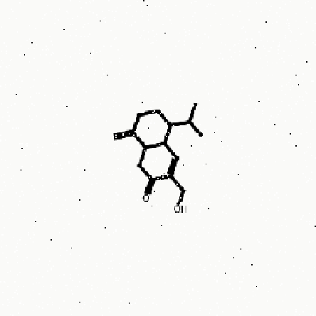 C=C1CCC(C(C)C)C2C=C(CO)C(=O)CC12